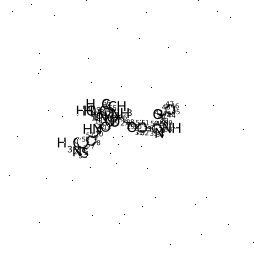 Cc1ncsc1-c1ccc(CNC(=O)[C@@H]2C[C@@H](O)CN2C(=O)[C@@H](NC(=O)CCCOc2ccc(-c3cnc4[nH]cc(C(=O)c5ccccc5)c4c3)cc2)C(C)(C)C)cc1